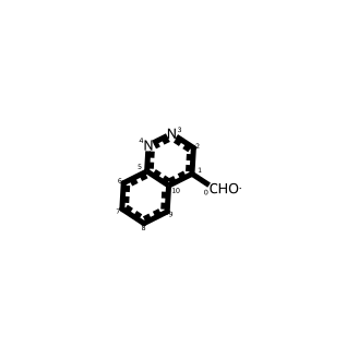 O=[C]c1cnnc2ccccc12